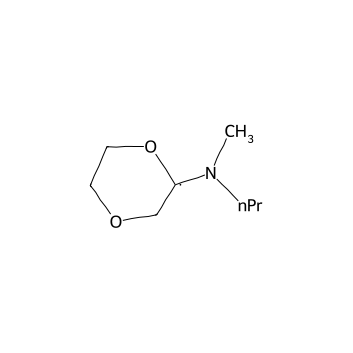 CCCN(C)[C]1COCCO1